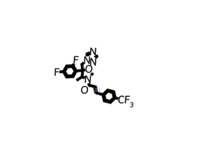 CC1N(C(=O)/C=C/c2ccc(C(F)(F)F)cc2)COC1(Cn1cncn1)c1ccc(F)cc1F